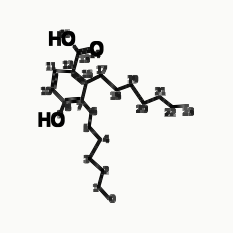 CCCCCCCc1c(O)ccc(C(=O)O)c1CCCCCCC